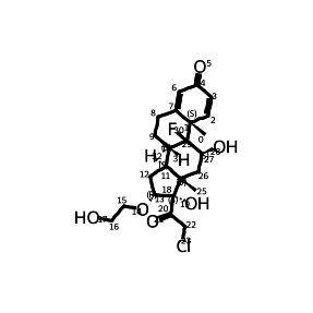 C[C@]12C=CC(=O)C=C1CC[C@H]1[C@@H]3C[C@@H](OCCO)[C@](O)(C(=O)CCl)[C@@]3(C)C[C@H](O)C12F